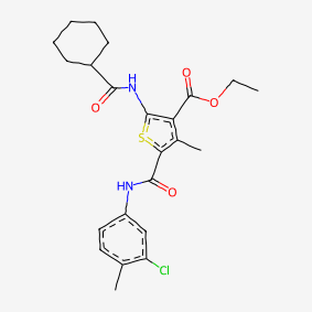 CCOC(=O)c1c(NC(=O)C2CCCCC2)sc(C(=O)Nc2ccc(C)c(Cl)c2)c1C